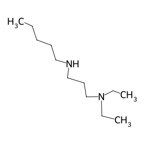 CCCCCNCCCN(CC)CC